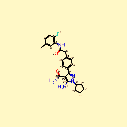 Cc1ccc(F)c(NC(=O)Cc2ccc(-c3nn(C4CCCC4)c(N)c3C(N)=O)cc2)c1